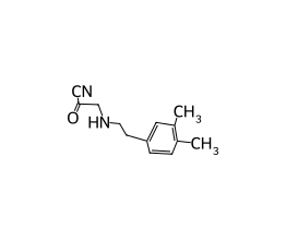 Cc1ccc(CCNCC(=O)C#N)cc1C